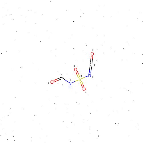 O=C=NS(=O)(=O)NC=O